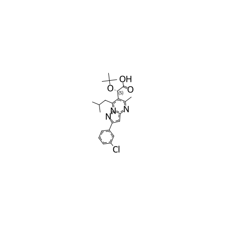 Cc1nc2cc(-c3cccc(Cl)c3)nn2c(CC(C)C)c1[C@H](OC(C)(C)C)C(=O)O